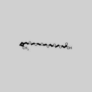 CC1CCC1CCOCCOCCOCCOCCOCCOCCC(=O)O